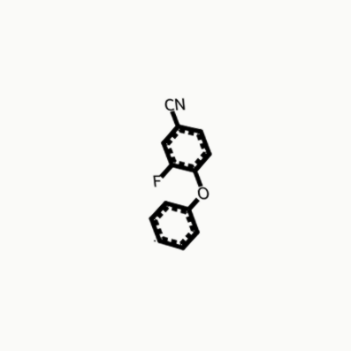 N#Cc1ccc(Oc2cc[c]cc2)c(F)c1